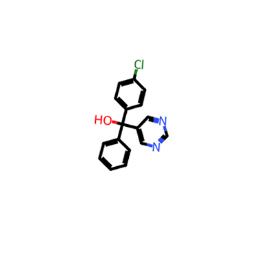 OC(c1ccccc1)(c1ccc(Cl)cc1)c1cncnc1